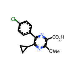 COc1nc(C2CC2)c(-c2ccc(Cl)cc2)nc1C(=O)O